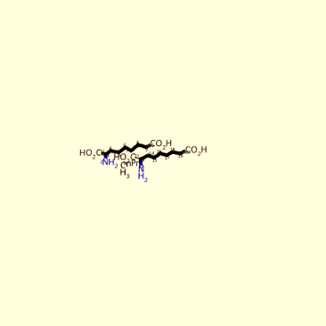 CCCC.NC(CCCCCCC(=O)O)C(=O)O.N[C@@H](CCCCCCC(=O)O)C(=O)O